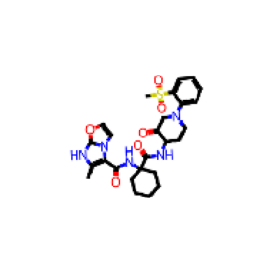 CC1=C(C(=O)NC2(C(=O)NC3CCN(c4ccccc4S(C)(=O)=O)CC3=O)CCCCC2)N2C=COC2N1